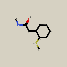 CNC(=O)CC1CCCCC1SC